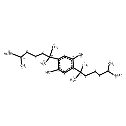 CC(=O)NC(C)CCCC(C)(C)c1cc(O)c(C(C)(C)CCCC(C)NC(C)=O)cc1O